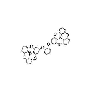 O=P12c3c4cccc3Oc3cc(Oc5ccccc5Oc5cc6c7c(c5)Sc5cccc8c5N7c5c(cccc5S6)S8)cc(c31)Oc1cccc(c12)O4